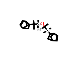 CCC(C)(O[Si](C)(C)C(C)(C)C1CC2C=CC1C2)[Si](C)(C)C1CC2C=CC1C2